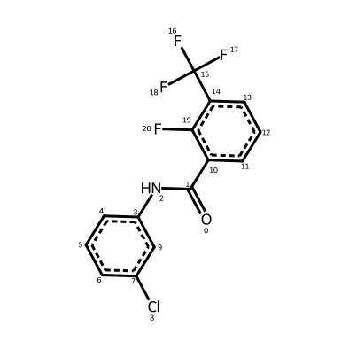 O=C(Nc1cccc(Cl)c1)c1cccc(C(F)(F)F)c1F